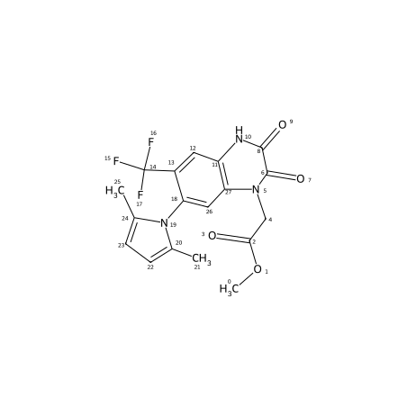 COC(=O)Cn1c(=O)c(=O)[nH]c2cc(C(F)(F)F)c(-n3c(C)ccc3C)cc21